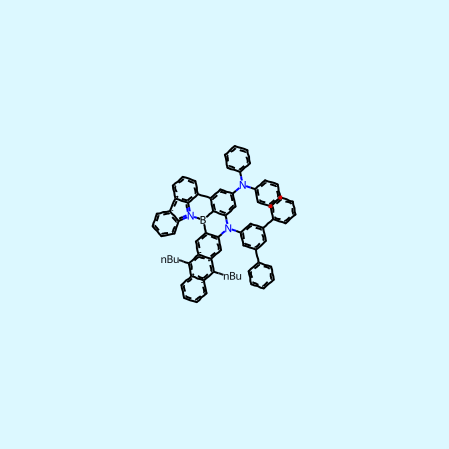 CCCCc1c2ccccc2c(CCCC)c2cc3c(cc12)B1c2c(cc(N(c4ccccc4)c4ccccc4)cc2N3c2cc(-c3ccccc3)cc(-c3ccccc3)c2)-c2cccc3c4ccccc4n1c23